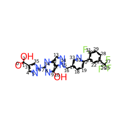 O=C(O)c1cnn(-c2nc(O)c3c(cnn3Cc3ccc(-c4cc(C(F)(F)F)ccc4F)nc3)n2)c1